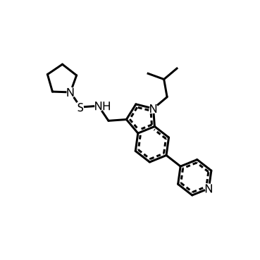 CC(C)Cn1cc(CNSN2CCCC2)c2ccc(-c3ccncc3)cc21